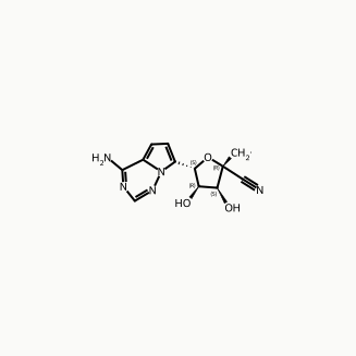 [CH2][C@]1(C#N)O[C@@H](c2ccc3c(N)ncnn23)[C@H](O)[C@@H]1O